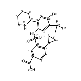 O=C(O)c1ccc(C2CC2)c(S(=O)(=O)Nc2cc(C(F)(F)F)c(F)cc2C2CCCCN2)c1